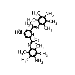 C/C(=N\c1c(C)c(C)c(N)c(C)c1C)c1cccc(/C(C)=N/c2c(C)c(C)c(N)c(C)c2C)n1.Cl.[Fe]